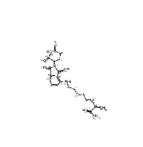 CC(OCCOCCNc1cccc2c1C(=O)N(C1CCC(=O)NC1=O)C2=O)C(N)=O